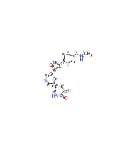 CNCc1ccc(-c2cc(-c3cncc(-c4c[nH]c(=O)c(Cl)c4)n3)on2)cc1